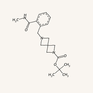 CNC(=O)c1ccccc1CN1CC2(C1)CN(C(=O)OC(C)(C)C)C2